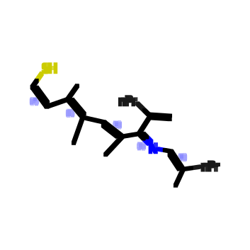 C=C(CCC)C(=N\C=C(/C)CCC)/C(C)=C/C(C)=C(C)/C=C\S